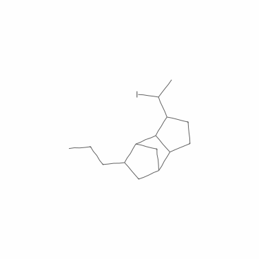 CCCC1CC2CC1C1C(C(C)I)CCC21